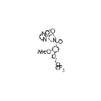 COc1cc(C(=O)N2CC[C@]3(c4ncccn4)OCOC3C2)ccc1OCCOC(F)(F)F